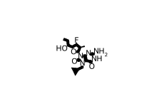 CC[C@H](O)[C@H]1O[C@@H](n2c(=O)n(CC3CC3)c3c(=O)[nH]c(N)nc32)[C@H](C)[C@H]1F